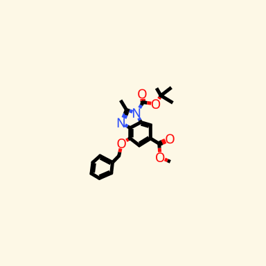 COC(=O)c1cc(OCc2ccccc2)c2nc(C)n(C(=O)OC(C)(C)C)c2c1